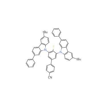 CC(C)(C)c1ccc2c(c1)c1ccc(-c3ccccc3)cc1n2-c1cc(-c2ccc(C#N)cc2)cc(-n2c3ccc(C(C)(C)C)cc3c3ccc(-c4ccccc4)cc32)c1F